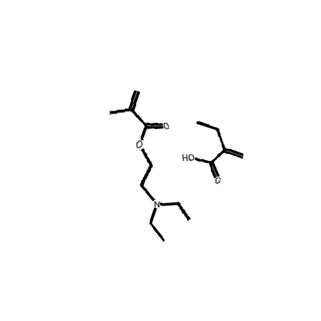 C=C(C)C(=O)OCCN(CC)CC.C=C(CC)C(=O)O